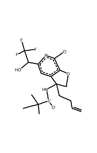 C=CCCC1(N[S+]([O-])C(C)(C)C)COc2c1cc(C(O)C(F)(F)F)nc2Cl